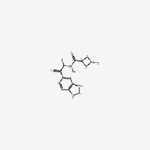 CC(C(=O)c1ccc2c(c1)OCO2)N(C)C(=O)C1CN(C)C1